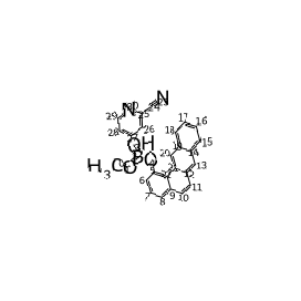 COB(O)Oc1cccc2ccc3cc4ccccc4cc3c12.N#Cc1ccccn1